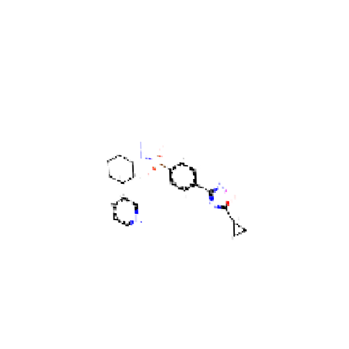 O=S(=O)(N[C@H]1CCC[C@@H](c2cccnc2)C1)c1ccc(-c2noc(C3CC3)n2)cc1